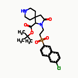 CC(C)(C)OC(=O)C1N(CCS(=O)(=O)c2ccc3cc(Cl)ccc3c2)C(=O)CC12CCNCC2